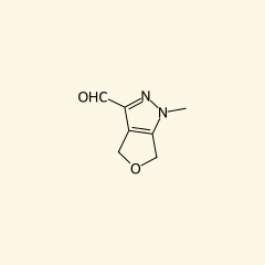 Cn1nc(C=O)c2c1COC2